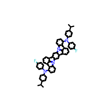 CC(C)c1ccc(N(c2ccc(F)cc2)c2cccc3c2c2cccc4c5cc6c(cc5n3c42)c2cccc3c4c(N(c5ccc(F)cc5)c5ccc(C(C)C)cc5)cccc4n6c23)cc1